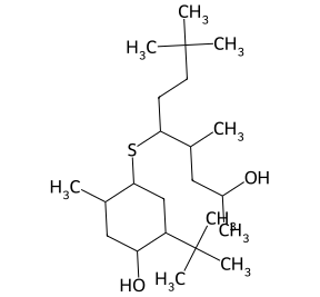 CC(O)CC(C)C(CCC(C)(C)C)SC1CC(C(C)(C)C)C(O)CC1C